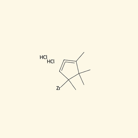 CC1=C=C[C](C)([Zr])C1(C)C.Cl.Cl